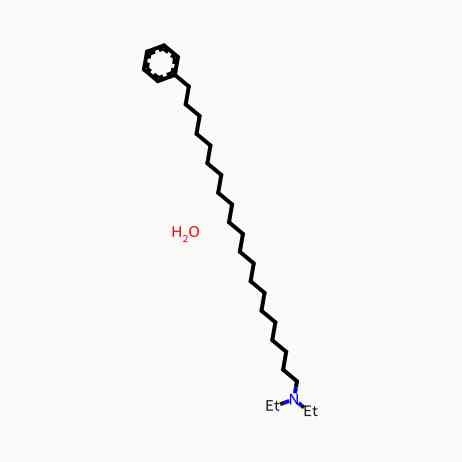 CCN(CC)CCCCCCCCCCCCCCCCCCCCCc1ccccc1.O